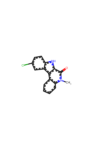 Cn1c(=O)c2[nH]c3ccc(Cl)cc3c2c2ccccc21